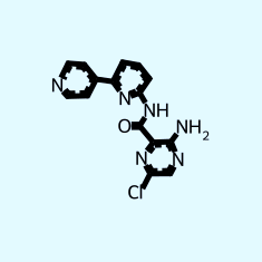 Nc1ncc(Cl)nc1C(=O)Nc1cccc(-c2ccncc2)n1